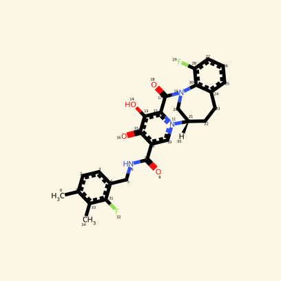 Cc1ccc(CNC(=O)c2cn3c(c(O)c2=O)C(=O)N2C[C@@H]3CCc3cccc(F)c32)c(F)c1C